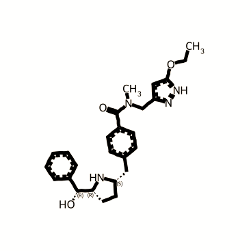 CCOc1cc(CN(C)C(=O)c2ccc(C[C@@H]3CC[C@H]([C@H](O)c4ccccc4)N3)cc2)n[nH]1